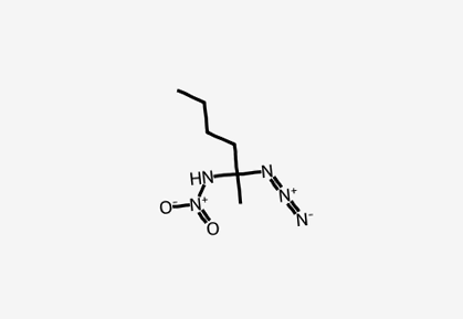 CCCCC(C)(N=[N+]=[N-])N[N+](=O)[O-]